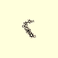 O=C(c1ncc(C2CCNC2)s1)N1CCN(S(=O)(=O)c2cc3ccc(Cl)cc3s2)CC1